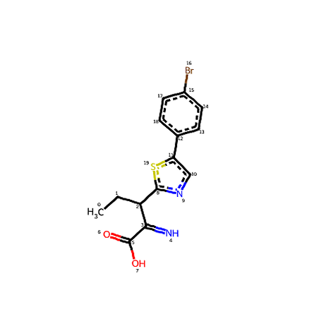 CCC(C(=N)C(=O)O)c1ncc(-c2ccc(Br)cc2)s1